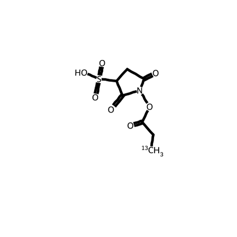 [13CH3]CC(=O)ON1C(=O)CC(S(=O)(=O)O)C1=O